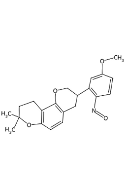 COc1ccc(N=O)c(C2COc3c(ccc4c3CCC(C)(C)O4)C2)c1